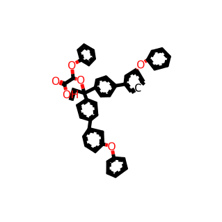 C=CC(OC(Oc1ccccc1)C(=O)O)(c1ccc(-c2cccc(Oc3ccccc3)c2)cc1)c1ccc(-c2cccc(Oc3ccccc3)c2)cc1